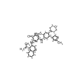 COc1cc(N2CCOCC2)c(-c2cnn(C)c2)cc1Nc1ncc(Cl)c(Nc2cnc3ccccc3c2P(C)C)n1